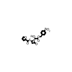 O=C(S[C@H]1CC(=O)N1C(O)C(=O)OCc1ccc([N+](=O)[O-])cc1)c1ccco1